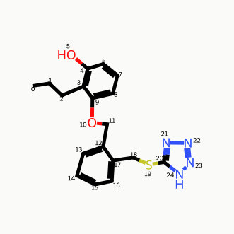 CCCc1c(O)[c]ccc1OCc1ccccc1CSc1nnn[nH]1